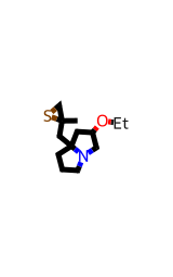 CCOC1CN2CCCC2(CC2(C)CS2)C1